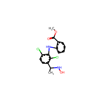 COC(=O)c1ccccc1Nc1c(Cl)ccc(C(C)NO)c1Cl